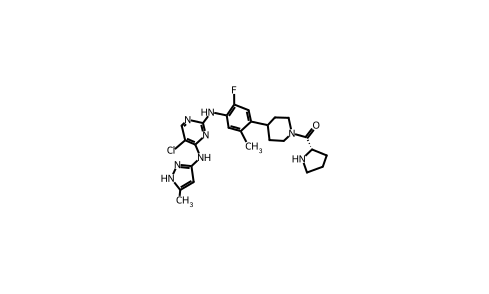 Cc1cc(Nc2nc(Nc3cc(C)c(C4CCN(C(=O)[C@@H]5CCCN5)CC4)cc3F)ncc2Cl)n[nH]1